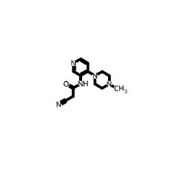 CN1CCN(c2ccncc2NC(=O)CC#N)CC1